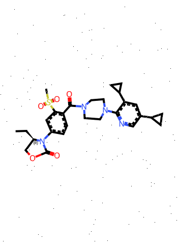 CC[C@@H]1COC(=O)N1c1ccc(C(=O)N2CCN(c3ncc(C4CC4)cc3C3CC3)CC2)c(S(C)(=O)=O)c1